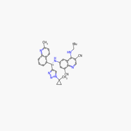 Cc1ccc2c([C@H](Nc3cc(C#N)c4ncc(C#N)c(NCC(C)(C)C)c4c3)c3cn(C4(C)CC4)nn3)cccc2n1